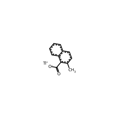 Cc1ccc2ccccc2c1C(=O)[O-].[Tl+]